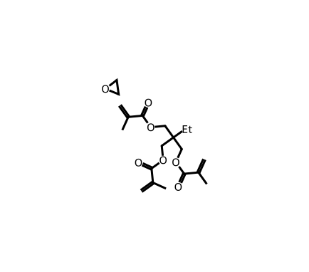 C1CO1.C=C(C)C(=O)OCC(CC)(COC(=O)C(=C)C)COC(=O)C(=C)C